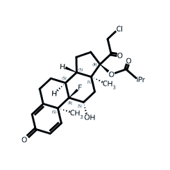 CC(C)C(=O)O[C@]1(C(=O)CCl)CC[C@H]2[C@@H]3CCC4=CC(=O)C=C[C@]4(C)[C@@]3(F)[C@@H](O)C[C@@]21C